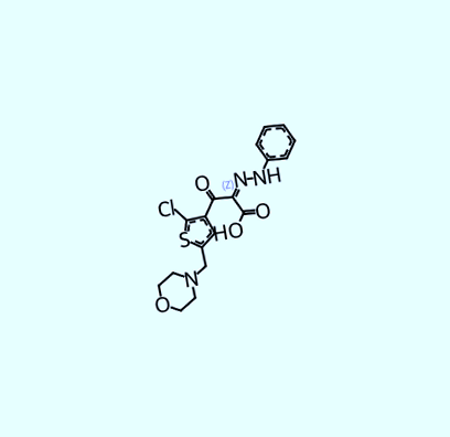 O=C(O)/C(=N\Nc1ccccc1)C(=O)c1cc(CN2CCOCC2)sc1Cl